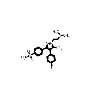 CN(C)CCn1nc(-c2ccc(S(N)(=O)=O)cc2)c(-c2ccc(F)cc2)c1C(F)(F)F